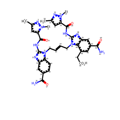 CCn1nc(C)cc1C(=O)Nc1nc2cc(C(N)=O)ccc2n1C/C=C/Cn1c(NC(=O)c2cc(C)nn2CC)nc2cc(C(N)=O)cc(CC(=O)O)c21